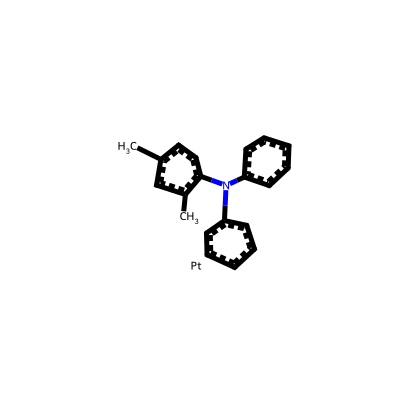 Cc1ccc(N(c2ccccc2)c2ccccc2)c(C)c1.[Pt]